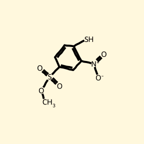 COS(=O)(=O)c1ccc(S)c([N+](=O)[O-])c1